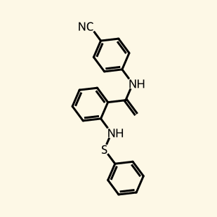 C=C(Nc1ccc(C#N)cc1)c1ccccc1NSc1ccccc1